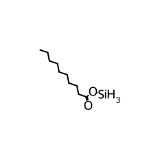 CCCCCCCCCC(=O)O[SiH3]